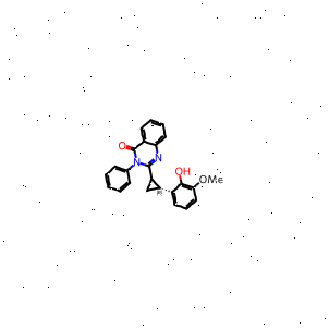 COc1cccc([C@@H]2CC2c2nc3ccccc3c(=O)n2-c2ccccc2)c1O